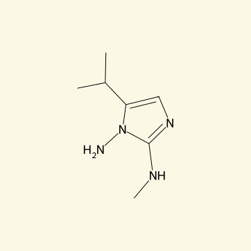 CNc1ncc(C(C)C)n1N